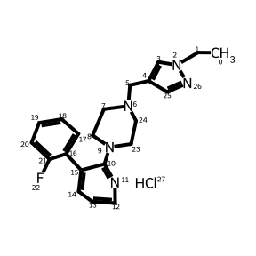 CCn1cc(CN2CCN(c3ncccc3-c3ccccc3F)CC2)cn1.Cl